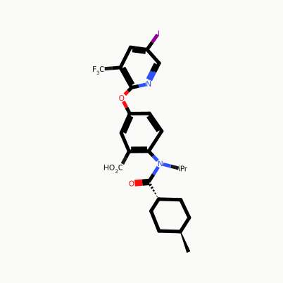 CC(C)N(c1ccc(Oc2ncc(I)cc2C(F)(F)F)cc1C(=O)O)C(=O)[C@H]1CC[C@H](C)CC1